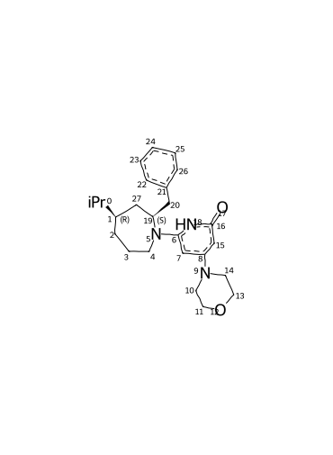 CC(C)[C@@H]1CCCN(c2cc(N3CCOCC3)cc(=O)[nH]2)[C@H](Cc2ccccc2)C1